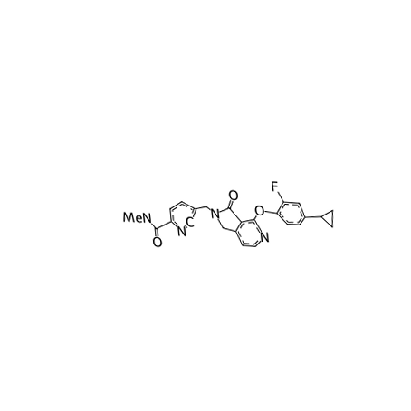 CNC(=O)c1ccc(CN2Cc3ccnc(Oc4ccc(C5CC5)cc4F)c3C2=O)cn1